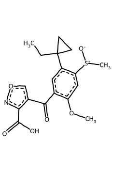 CCC1(c2cc(C(=O)c3conc3C(=O)O)c(OC)cc2[S+](C)[O-])CC1